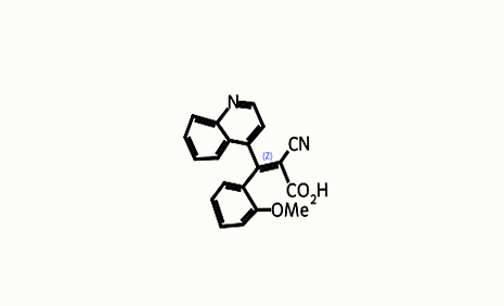 COc1ccccc1/C(=C(/C#N)C(=O)O)c1ccnc2ccccc12